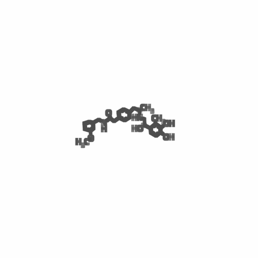 COc1cccc(CNC(=O)Cc2ccc(C[C@@H](C)NC[C@H](O)c3ccc(O)c(O)c3C)cc2)c1